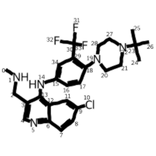 CNCc1cnc2ccc(Cl)cc2c1Nc1ccc(N2CCN(C(C)(C)C)CC2)c(C(F)(F)F)c1